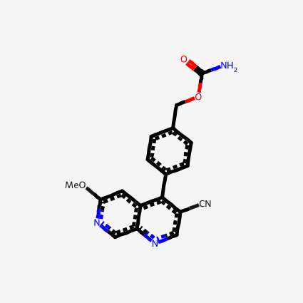 COc1cc2c(-c3ccc(COC(N)=O)cc3)c(C#N)cnc2cn1